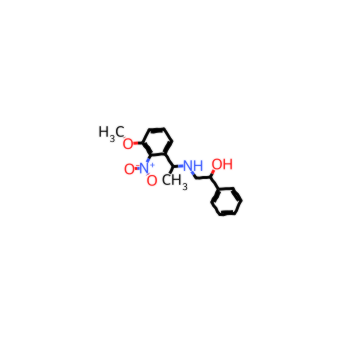 COc1cccc(C(C)NCC(O)c2ccccc2)c1[N+](=O)[O-]